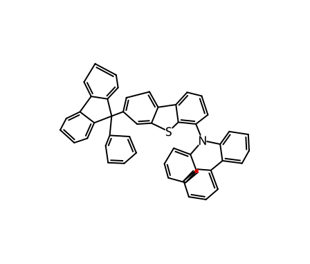 c1ccc(-c2ccccc2N(c2ccccc2)c2cccc3c2sc2cc(C4(c5ccccc5)c5ccccc5-c5ccccc54)ccc23)cc1